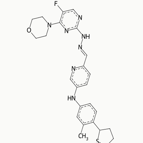 Cc1cc(Nc2ccc(/C=N/Nc3ncc(F)c(N4CCOCC4)n3)nc2)ccc1C1CCCS1